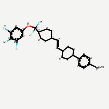 CCCCCCc1ccc(C2CCC(/C=C/C3CCC(C(F)(F)Oc4cc(F)c(F)c(F)c4)CC3)CC2)cc1